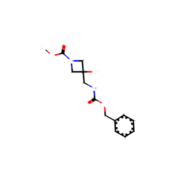 CC(C)(C)OC(=O)N1CC(O)(CNC(=O)OCc2ccccc2)C1